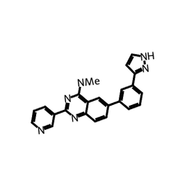 CNc1nc(-c2cccnc2)nc2ccc(-c3cccc(-c4cc[nH]n4)c3)cc12